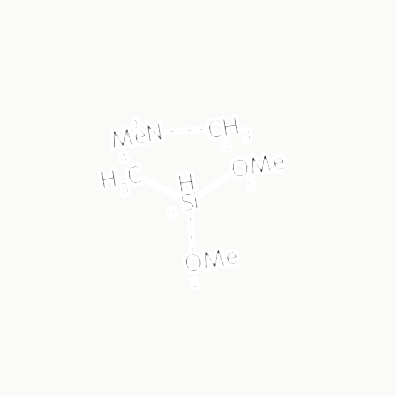 CNC.CO[SiH](C)OC